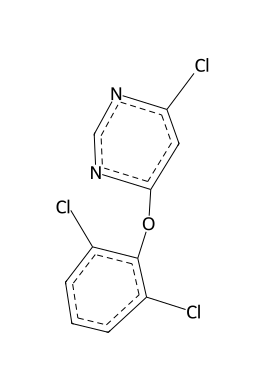 Clc1cc(Oc2c(Cl)cccc2Cl)ncn1